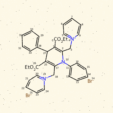 CCOC(=O)C1=C(C[n+]2ccccc2)N(c2ccccc2)C(C[n+]2ccccc2)=C(C(=O)OCC)C1c1ccccc1.[Br-].[Br-]